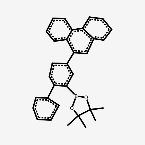 CC1(C)OB(c2cc(-c3cc4ccccc4c4ccccc34)ccc2-c2ccccc2)OC1(C)C